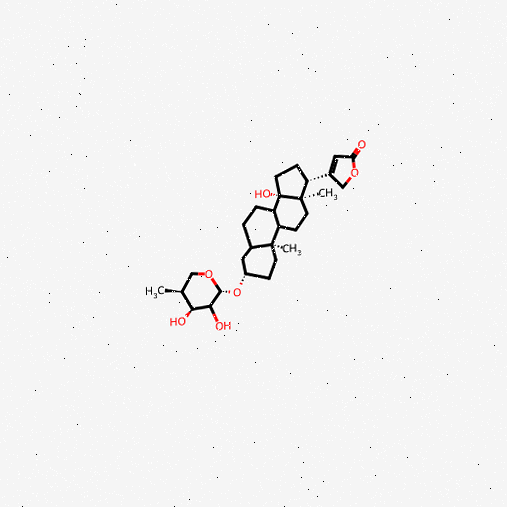 C[C@H]1CO[C@H](O[C@H]2CC[C@@]3(C)C(CCC4C3CC[C@]3(C)[C@@H](C5=CC(=O)OC5)CC[C@]43O)C2)C(O)[C@H]1O